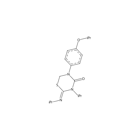 CC(C)N=C1SCN(c2ccc(OC(C)C)cc2)C(=O)N1C(C)C